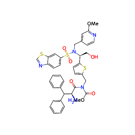 COC(=O)N(Cc1ccc([C@H](CO)N(Cc2ccnc(OC)c2)S(=O)(=O)c2ccc3ncsc3c2)s1)C(=O)[C@@H](N)C(c1ccccc1)c1ccccc1